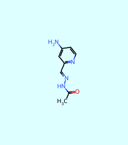 CC(=O)N/N=C/c1cc(N)ccn1